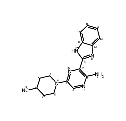 N#CC1CCN(c2cnc(N)c(-c3nc4ccccc4[nH]3)n2)CC1